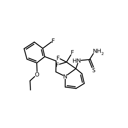 CCOc1cccc(F)c1CCN1C=CC=CC1(NC(N)=S)C(F)(F)F